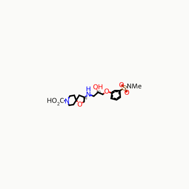 CNS(=O)(=O)c1cccc(OC[C@@H](O)CN[C@H]2COC3(CCN(C(=O)O)CC3)C2)c1